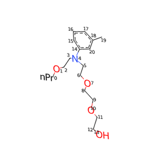 CCCOCCN(CCOCCOCCO)c1cccc(C)c1